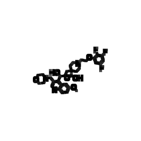 COc1ccc2ncc(CN3CCOCC3)c(C(O)CCC3(C(=O)O)CCN(CCOc4cc(F)cc(F)c4F)CC3)c2c1